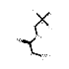 COCC(=O)OCC(C)(F)F